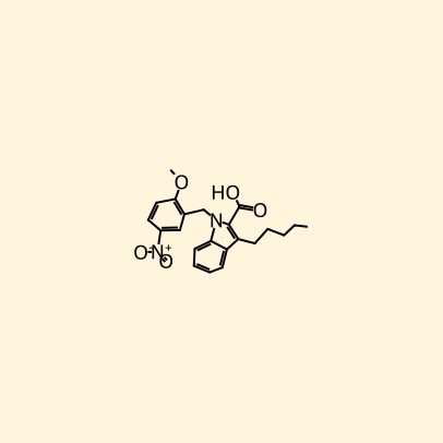 CCCCCc1c(C(=O)O)n(Cc2cc([N+](=O)[O-])ccc2OC)c2ccccc12